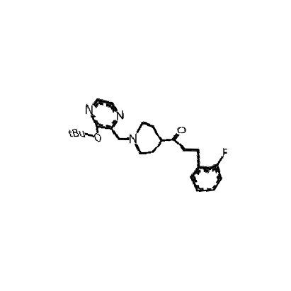 CC(C)(C)Oc1nccnc1CN1CCC(C(=O)CCc2ccccc2F)CC1